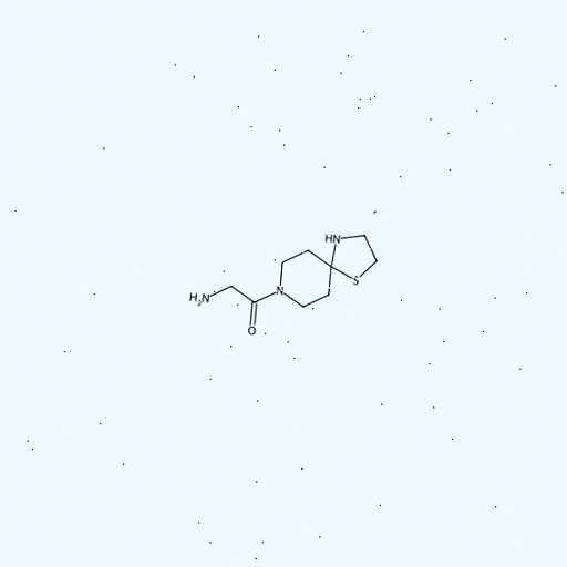 NCC(=O)N1CCC2(CC1)NCCS2